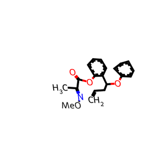 C=CCC(Oc1ccccc1)c1ccccc1OC(=O)C(C)=NOC